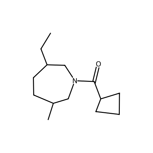 CCC1CCC(C)CN(C(=O)C2CCC2)C1